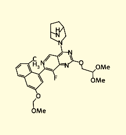 COCOc1cc(-c2ncc3c(N4CC5CCC(C4)N5)nc(OCC(OC)OC)nc3c2F)c2c(C)cccc2c1